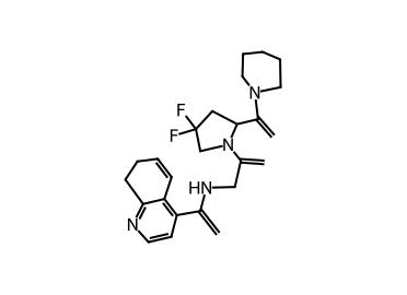 C=C(NCC(=C)N1CC(F)(F)CC1C(=C)N1CCCCC1)c1ccnc2c1C=CCC2